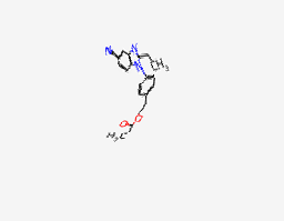 CCC(=O)OCCc1ccc(-n2c(CC)nc3cc(C#N)ccc32)cc1